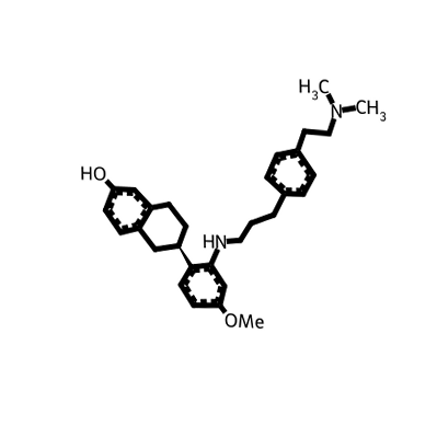 COc1ccc([C@@H]2CCc3cc(O)ccc3C2)c(NCCCc2ccc(CCN(C)C)cc2)c1